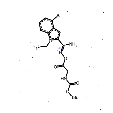 CC(C)(C)OC(=O)NCC(=O)O/N=C(\N)c1cc2c(Br)cccc2n1CC(F)(F)F